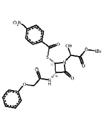 CC(C)(C)OC(=O)C(O)N1C(=O)[C@H](NC(=O)COc2ccccc2)[C@@H]1SC(=O)c1ccc([N+](=O)[O-])cc1